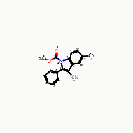 CC(C)(C)OC(=O)n1c(-c2ccccc2)c(C#N)c2cc(C#N)ccc21